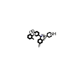 Cc1cccc(Cl)c1-n1cc(/C(=N/OC2CCNCC2)c2ccc(F)cc2F)ccc1=O